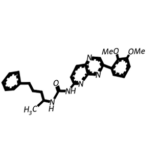 COc1cccc(-c2cnc3ccc(NC(=O)NC(C)CCCc4ccccc4)nc3n2)c1OC